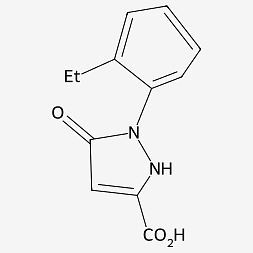 CCc1ccccc1-n1[nH]c(C(=O)O)cc1=O